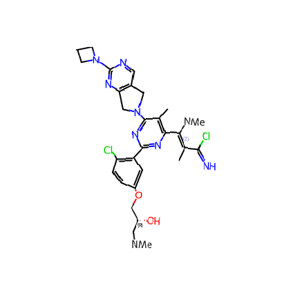 CNC[C@@H](O)COc1ccc(Cl)c(-c2nc(/C(NC)=C(\C)C(=N)Cl)c(C)c(N3Cc4cnc(N5CCC5)nc4C3)n2)c1